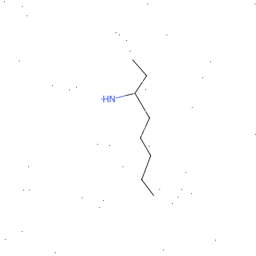 CCCCCC([NH])CC